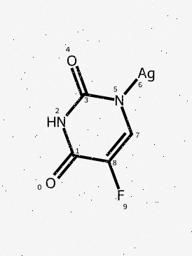 O=c1[nH]c(=O)[n]([Ag])cc1F